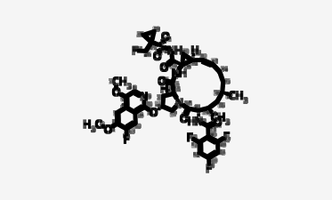 COc1cc2c(OC)cnc(O[C@@H]3C[C@H]4C(=O)N[C@]5(C(=O)NS(=O)(=O)C6(CF)CC6)C[C@H]5/C=C\CC[C@@H](C)C[C@@H](C)[C@H](NC(=O)c5c(F)cc(F)cc5F)C(=O)N4C3)c2cc1F